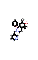 CC1(C)C(=O)C(C#N)=C[C@]2(c3ccccc3)C(=O)N(Cc3cccnc3)CC=C12